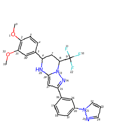 COc1ccc(C2CC(C(F)(F)F)n3nc(-c4cccc(-n5cccn5)c4)cc3N2)cc1OC